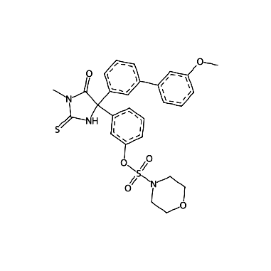 COc1cccc(-c2cccc(C3(c4cccc(OS(=O)(=O)N5CCOCC5)c4)NC(=S)N(C)C3=O)c2)c1